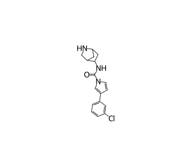 O=C(NC1CC2CC1CN2)n1ccc(-c2cccc(Cl)c2)c1